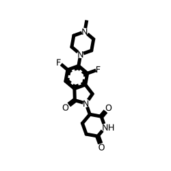 CN1CCN(c2c(F)cc3c(c2F)CN(C2CCC(=O)NC2=O)C3=O)CC1